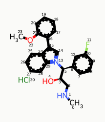 CNC[C@@H](O)[C@H](c1cccc(F)c1)n1cc(-c2ccccc2OC)c2ccccc21.Cl